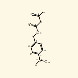 CC(=O)CC(=O)OCc1ccc([S+](C)[O-])cc1